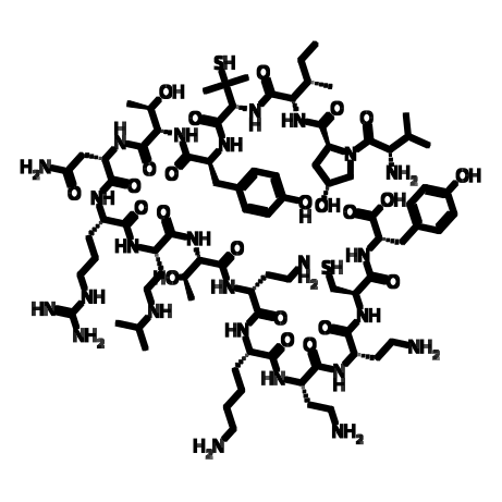 CC[C@H](C)[C@H](NC(=O)[C@@H]1C[C@@H](O)CN1C(=O)[C@@H](N)C(C)C)C(=O)N[C@H](C(=O)N[C@@H](Cc1ccc(O)cc1)C(=O)N[C@H](C(=O)N[C@@H](CC(N)=O)C(=O)N[C@@H](CCCNC(=N)N)C(=O)N[C@@H](CCNC(C)C)C(=O)N[C@H](C(=O)N[C@H](CCN)C(=O)N[C@@H](CCCCN)C(=O)N[C@@H](CCN)C(=O)N[C@@H](CCN)C(=O)N[C@@H](CS)C(=O)N[C@@H](Cc1ccc(O)cc1)C(=O)O)[C@@H](C)O)[C@@H](C)O)C(C)(C)S